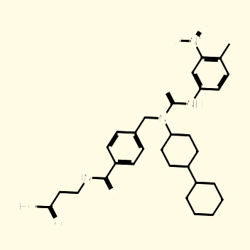 Cc1ccc(NC(=O)N(Cc2ccc(C(=O)NCCC(=O)O)cc2)C2CCC(C3CCCCC3)CC2)cc1[N+](=O)[O-]